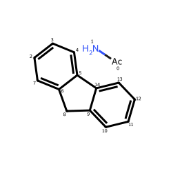 CC(N)=O.c1ccc2c(c1)Cc1ccccc1-2